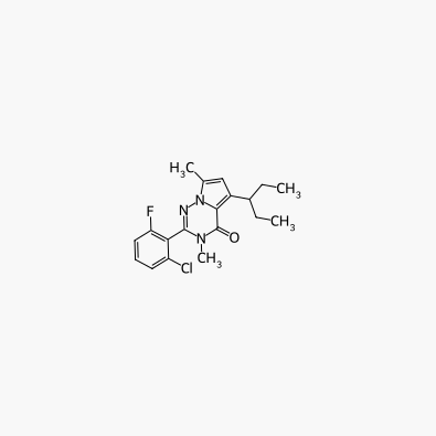 CCC(CC)c1cc(C)n2nc(-c3c(F)cccc3Cl)n(C)c(=O)c12